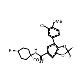 CC[C@H]1CC[C@](NC(=O)c2cc3c(c(-c4ccc(OC)c(Cl)c4)c2)OC(F)(F)O3)(C(=O)O)CC1